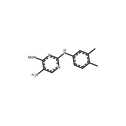 CNc1nc(Nc2ccc(C)c(C)c2)ncc1N